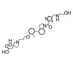 Cc1c(OCCCN2CCC(O)(CC(=O)O)C2)cccc1-c1cccc2c1CCN2C(=O)c1ncc(CNCCO)s1